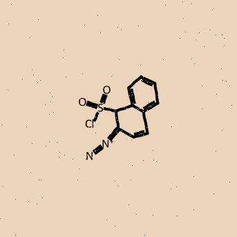 [N-]=[N+]=C1C=Cc2ccccc2C1S(=O)(=O)Cl